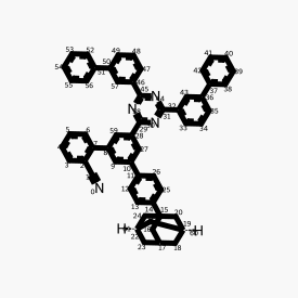 N#Cc1ccccc1-c1cc(-c2ccc(C34CC5C[C@H](C3)C[C@@H](C5)C4)cc2)cc(-c2nc(-c3cccc(-c4ccccc4)c3)nc(-c3cccc(-c4ccccc4)c3)n2)c1